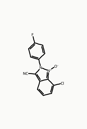 N#Cc1c2cccc(Cl)c2[n+]([O-])n1-c1ccc(F)cc1